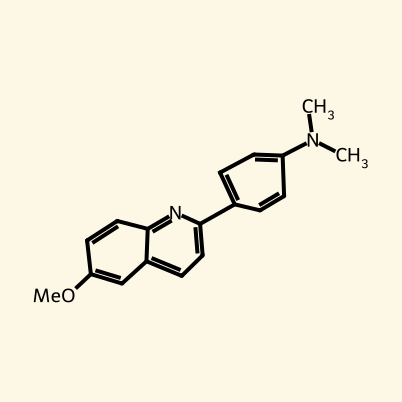 COc1ccc2nc(-c3ccc(N(C)C)cc3)ccc2c1